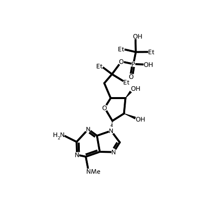 CCC(CC)(CC1O[C@@H](n2cnc3c(NC)nc(N)nc32)[C@H](O)[C@@H]1O)OP(=O)(O)C(O)(CC)CC